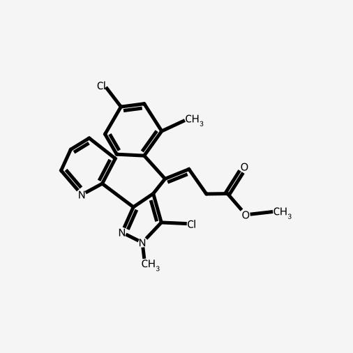 COC(=O)C/C=C(/c1ccc(Cl)cc1C)c1c(-c2ccccn2)nn(C)c1Cl